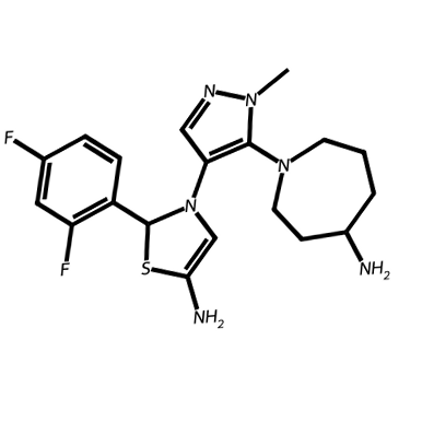 Cn1ncc(N2C=C(N)SC2c2ccc(F)cc2F)c1N1CCCC(N)CC1